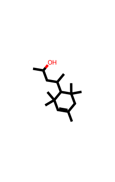 CC1=CC(C)(C)C(C(C)CC(C)O)C(C)(C)C1